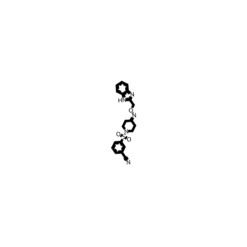 N#Cc1cccc(S(=O)(=O)N2CCC(=NOCc3nc4ccccc4[nH]3)CC2)c1